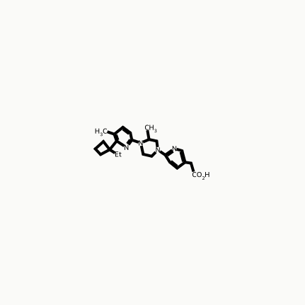 CCC1(c2nc(N3CCN(c4ccc(CC(=O)O)cn4)CC3C)ccc2C)CCC1